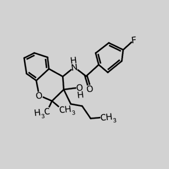 CCCCC1(O)C(NC(=O)c2ccc(F)cc2)c2ccccc2OC1(C)C